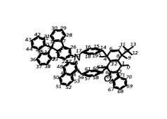 CC1C2=C3C(C)(C=CC2(C)C(C)(C)C)c2ccc(cc2)N(c2ccc4c(c2)-c2ccccc2C4(c2ccccc2)c2ccccc2)c2ccc4ccccc4c2-c2ccc(cc2)C3(C)c2oc3ccccc3c21